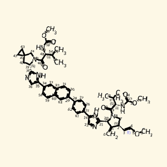 C=C1[C@H](/C=C/OC)CN(C(=O)[C@@H](NC(=O)OC)C(C)C)[C@@H]1c1ncc(-c2ccc(-c3ccc4cc(-c5cnc([C@@H]6CC7(CC7)CN6C(=O)[C@@H](NC(=O)OC)C(C)C)[nH]5)ccc4c3)cc2)[nH]1